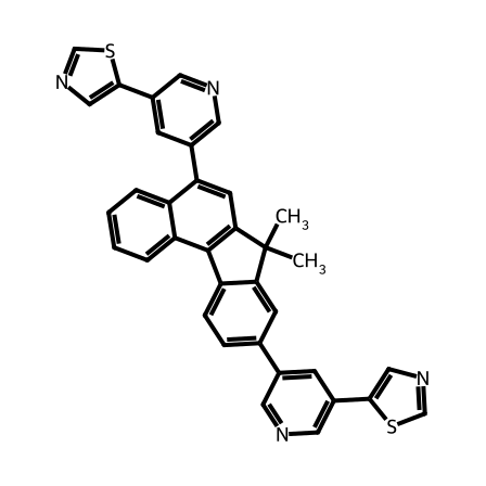 CC1(C)c2cc(-c3cncc(-c4cncs4)c3)ccc2-c2c1cc(-c1cncc(-c3cncs3)c1)c1ccccc21